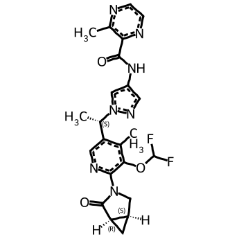 Cc1nccnc1C(=O)Nc1cnn([C@@H](C)c2cnc(N3C[C@H]4C[C@H]4C3=O)c(OC(F)F)c2C)c1